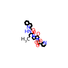 CCCC(NC(=O)c1ccc2ccccc2n1)C(=O)N1CCC2C1C(=O)CN2S(=O)(=O)C(=O)c1cccnc1